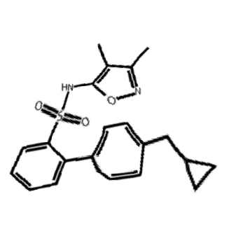 Cc1noc(NS(=O)(=O)c2ccccc2-c2ccc(CC3CC3)cc2)c1C